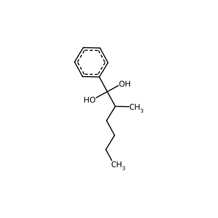 CCCCC(C)C(O)(O)c1ccccc1